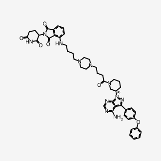 Nc1ncnc2c1c(-c1ccc(Oc3ccccc3)cc1)nn2[C@@H]1CCCN(C(=O)CCCN2CCN(CCCCNc3cccc4c3C(=O)N(C3CCC(=O)NC3=O)C4=O)CC2)C1